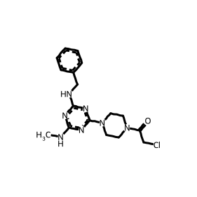 CNc1nc(NCc2ccccc2)nc(N2CCN(C(=O)CCl)CC2)n1